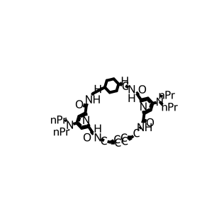 CCCN(CCC)c1cc2nc(c1)C(=O)NC[C@H]1CC[C@H](CC1)CNC(=O)c1cc(N(CCC)CCC)cc(n1)C(=O)NCc1ccc(cc1)CNC2=O